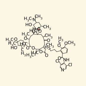 CC[C@H]1OC(=O)[C@H](C)[C@@H](O[C@H]2C[C@@](C)(OC)[C@@H](O)[C@H](C)O2)[C@H](C)[C@@H](O[C@@H]2O[C@H](C)C[C@H](N(C)C)[C@H]2O)[C@](C)(OC)C[C@@H](C)C(=O)[C@H](C)[C@H]2[C@H](SCCCc3c(C(=O)Nc4c(Cl)cncc4Cl)ccc(OC)c3OC)C(=O)O[C@@]21C